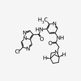 Cc1ncc(NC(=O)CN2C[C@H]3CC[C@@H]2C3)cc1NC(=O)c1cnn2cc(Cl)ncc12